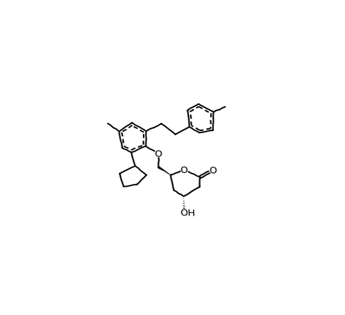 Cc1ccc(CCc2cc(C)cc(C3CCCC3)c2OC[C@@H]2C[C@@H](O)CC(=O)O2)cc1